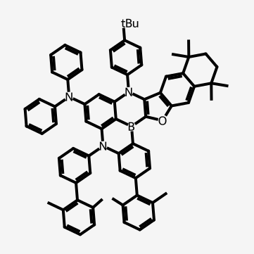 Cc1cccc(C)c1-c1cccc(N2c3cc(-c4c(C)cccc4C)ccc3B3c4oc5cc6c(cc5c4N(c4ccc(C(C)(C)C)cc4)c4cc(N(c5ccccc5)c5ccccc5)cc2c43)C(C)(C)CCC6(C)C)c1